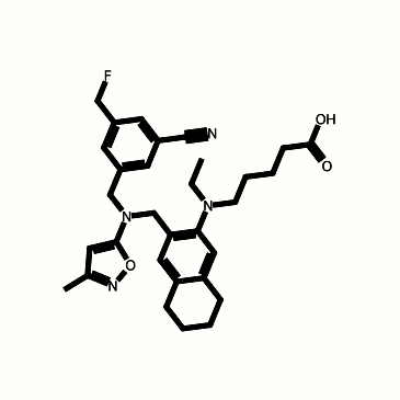 CCN(CCCCC(=O)O)c1cc2c(cc1CN(Cc1cc(C#N)cc(CF)c1)c1cc(C)no1)CCCC2